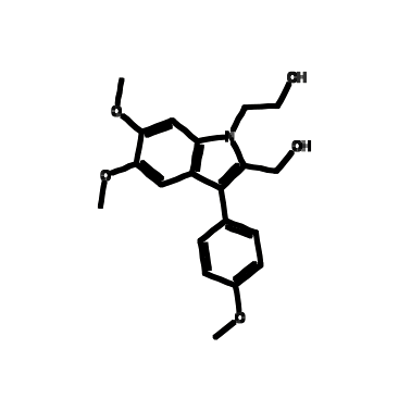 COc1ccc(-c2c(CO)n(CCO)c3cc(OC)c(OC)cc23)cc1